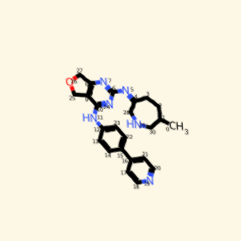 CC1CC/C(=N/c2nc3c(c(Nc4ccc(-c5ccncc5)cc4)n2)COC3)CNC1